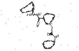 O=C(C[n+]1cccc(C(=O)NNc2ccccc2)c1)Nc1ccccc1